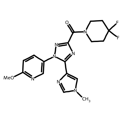 COc1ccc(-n2nc(C(=O)N3CCC(F)(F)CC3)nc2-c2cn(C)cn2)cn1